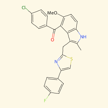 COc1ccc2[nH]c(C)c(Cc3nc(-c4ccc(F)cc4)cs3)c2c1C(=O)c1ccc(Cl)cc1